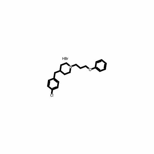 Br.Clc1ccc(CC2CCN(CCCOc3ccccc3)CC2)cc1